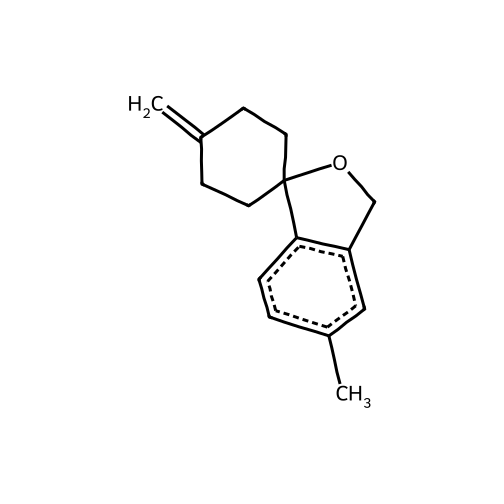 C=C1CCC2(CC1)OCc1cc(C)ccc12